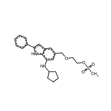 CS(=O)(=O)OCCOCc1cc(NC2CCCC2)c2[nH]c(-c3ccccc3)cc2c1